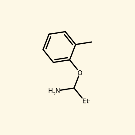 C[CH]C(N)Oc1ccccc1C